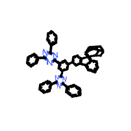 c1ccc(-c2nc(-c3ccccc3)nc(-c3cc(-c4ccc5c(c4)-c4ccccc4C54C5CC6CC(C5)CC4C6)cc(-c4nc(-c5ccccc5)nc(-c5ccccc5)n4)c3)n2)cc1